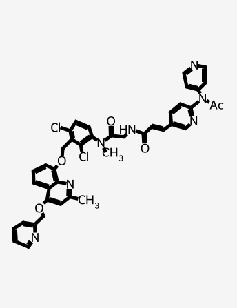 CC(=O)N(c1ccncc1)c1ccc(C=CC(=O)NCC(=O)N(C)c2ccc(Cl)c(COc3cccc4c(OCc5ccccn5)cc(C)nc34)c2Cl)cn1